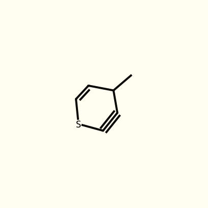 CC1C#CSC=C1